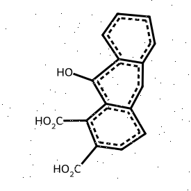 O=C(O)c1ccc2cc3ccccc3c(O)c2c1C(=O)O